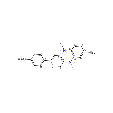 COc1ccc(-c2ccc3c(c2)N(C)c2ccc(C(C)(C)C)cc2N3C)cc1